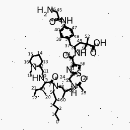 CCCCCCN(C(=O)[C@@H](NCC1CCCCN1C)[C@@H](C)CC)[C@H](C[C@@H](NC(C)=O)c1nc(C(=O)N[C@@H](Cc2ccc(NC(=O)CN)cc2)CC(C)(C)C(=O)O)cs1)C(C)C